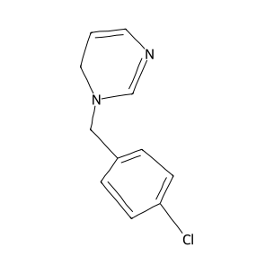 Clc1ccc(CN2C=NC=CC2)cc1